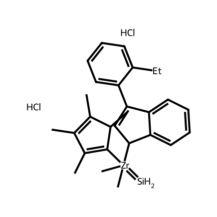 CCc1ccccc1C1=C[CH]([Zr]([CH3])([CH3])(=[SiH2])[C]2=C(C)C(C)=C(C)C2C)c2ccccc21.Cl.Cl